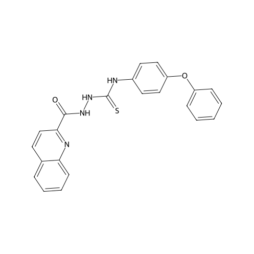 O=C(NNC(=S)Nc1ccc(Oc2ccccc2)cc1)c1ccc2ccccc2n1